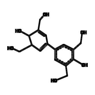 OCC1=CC(c2cc(CO)c(O)c(CO)c2)=CC(CO)C1O